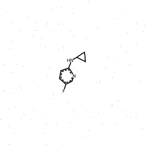 Fc1ccc(NC2CC2)nc1